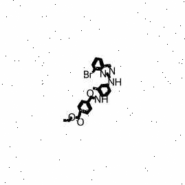 CCOC(=O)c1ccc(C(=O)Nc2ccc(Nc3ncc4cccc(Br)c4n3)cc2C)cc1